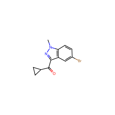 Cn1nc(C(=O)C2CC2)c2cc(Br)ccc21